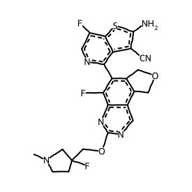 CN1CCC(F)(COc2ncc3c4c(c(-c5ncc(F)c6sc(N)c(C#N)c56)c(F)c3n2)COC4)C1